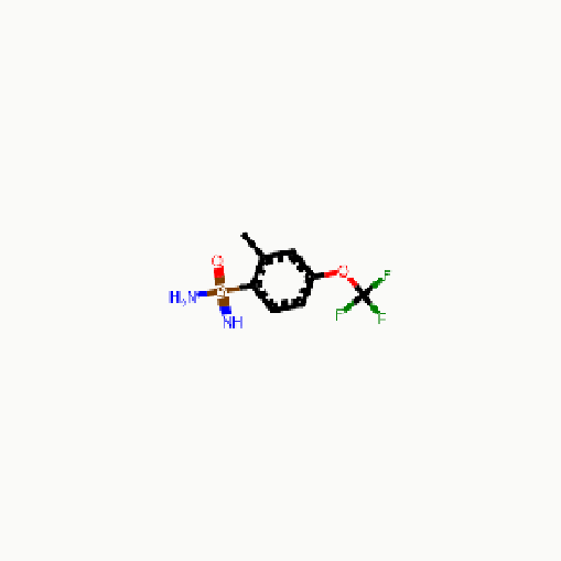 Cc1cc(OC(F)(F)F)ccc1S(=N)(N)=O